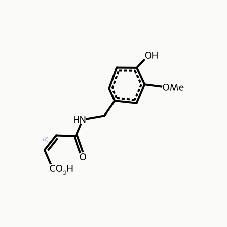 COc1cc(CNC(=O)/C=C\C(=O)O)ccc1O